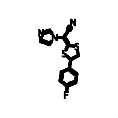 N#CC(=C1SCC(c2ccc(F)cc2)S1)n1ccnc1